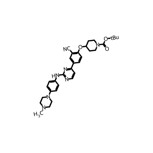 CN1CCN(c2ccc(Nc3nccc(-c4ccc(OC5CCN(C(=O)OC(C)(C)C)CC5)c(C#N)c4)n3)cc2)CC1